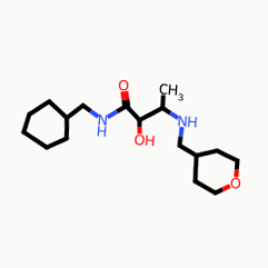 CC(NCC1CCOCC1)C(O)C(=O)NCC1CCCCC1